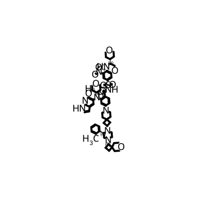 Cc1ccccc1[C@@H]1CN([C@@H]2CCC23CCOCC3)CCN1C1CC2(CCN(c3ccc(C(=O)NS(=O)(=O)c4cc5c(c([N+](=O)[O-])c4)N[C@H](C4CCOCC4)CO5)c(N4c5cc6cc[nH]c6nc5O[C@H]5COCC[C@@H]54)c3)CC2)C1